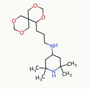 CC1(C)CC(NCCCC2OCOCC23COCOC3)CC(C)(C)N1